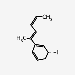 C/C=C\C=C(/C)C1=C[C@H](I)CC=C1